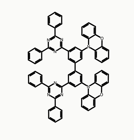 c1ccc(-c2nc(-c3ccccc3)nc(-c3cc(-c4cc(-c5nc(-c6ccccc6)nc(-c6ccccc6)n5)cc(N5c6ccccc6Oc6ccccc65)c4)cc(N4c5ccccc5Oc5ccccc54)c3)n2)cc1